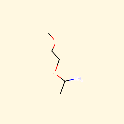 CCCOCCOC(C)N